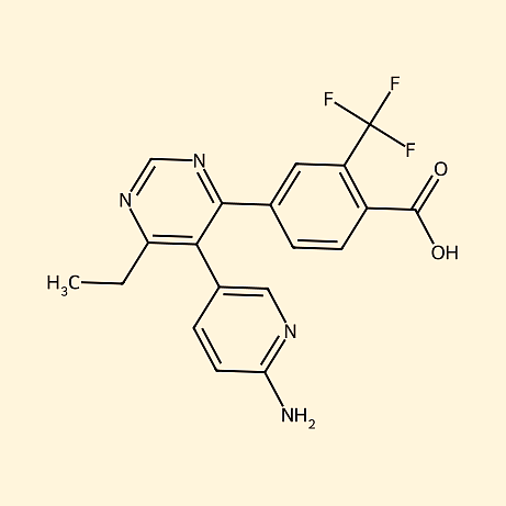 CCc1ncnc(-c2ccc(C(=O)O)c(C(F)(F)F)c2)c1-c1ccc(N)nc1